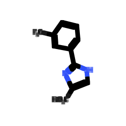 CCOC(=O)c1c[nH]c(-c2cccc(C(F)(F)F)c2)n1